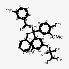 COc1cc([C@@](CC2C=CC=CC2)(NC(=O)c2cccc(F)c2)c2cc(F)cc(OC(F)(F)C(F)F)c2)ccc1F